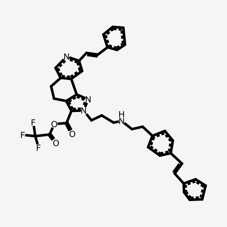 O=C(OC(=O)C(F)(F)F)c1c2c(nn1CCCNCCc1ccc(C=Cc3ccccc3)cc1)-c1cc(C=Cc3ccccc3)ncc1CC2